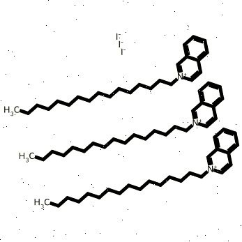 CCCCCCCCCCCCCCCC[n+]1ccc2ccccc2c1.CCCCCCCCCCCCCCCC[n+]1ccc2ccccc2c1.CCCCCCCCCCCCCCCC[n+]1ccc2ccccc2c1.[I-].[I-].[I-]